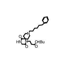 CC(C)(C)OC(=O)CCN1C(=O)CNC(=O)C12CCN(CCCCCCc1ccccc1)CC2